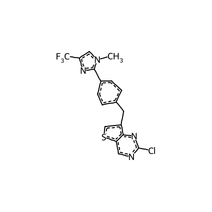 Cn1cc(C(F)(F)F)nc1-c1ccc(Cc2csc3cnc(Cl)nc23)cc1